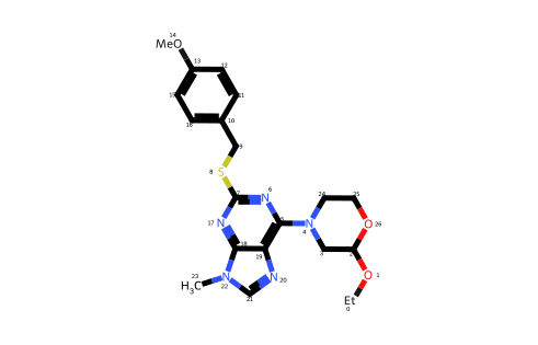 CCOC1CN(c2nc(SCc3ccc(OC)cc3)nc3c2ncn3C)CCO1